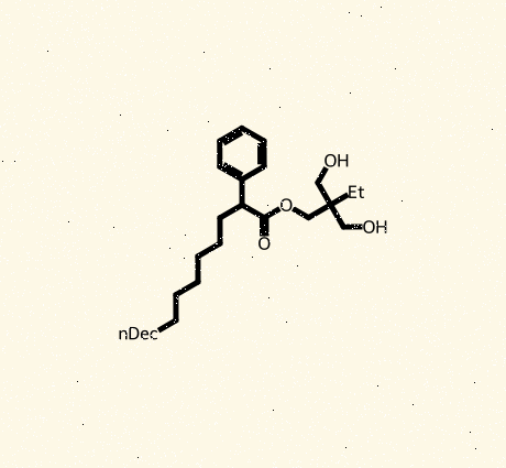 CCCCCCCCCCCCCCCCC(C(=O)OCC(CC)(CO)CO)c1ccccc1